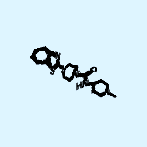 CN1CCC(NC(=O)N2CCN(c3nc4ccccc4s3)CC2)CC1